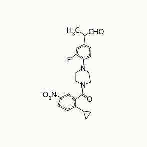 CC(C=O)c1ccc(N2CCN(C(=O)c3cc([N+](=O)[O-])ccc3C3CC3)CC2)c(F)c1